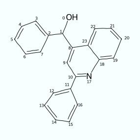 OC(c1ccccc1)c1cc(-c2ccccc2)nc2ccccc12